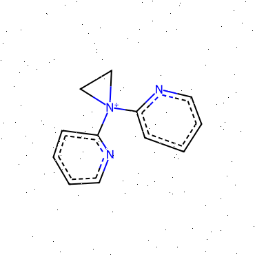 c1ccc([N+]2(c3ccccn3)CC2)nc1